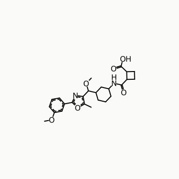 COc1cccc(-c2nc(C(OC)C3CCCC(NC(=O)C4CCC4C(=O)O)C3)c(C)o2)c1